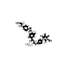 Cc1c(C)n(C(C)C)c(=O)n(-c2ccc(C[C@H](NC(=O)c3cc(F)c(NS(=O)(=O)c4ccc(NC(=O)C(C)(C)C)cc4)cc3F)C(=O)O)cc2)c1=O